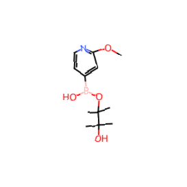 COc1cc(B(O)OC(C)(C)C(C)(C)O)ccn1